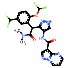 CN(C)C(=O)C(c1cc(C(F)F)ccc1OC(F)F)c1n[nH]cc1NC(=O)c1cnn2cccnc12